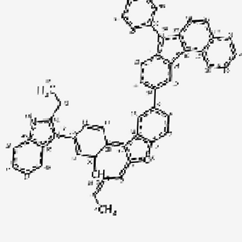 C\C=C/C=c1/oc2ccc(-c3ccc4c(c3)c3c5ccccc5ccc3n4-c3ccccc3)cc2/c1=C1\C=CC(n2c(CC)nc3ccccc32)=CC1C